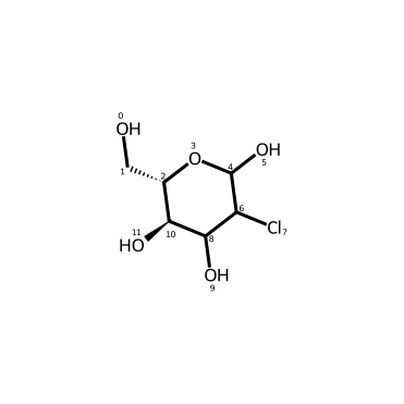 OC[C@@H]1OC(O)C(Cl)C(O)[C@H]1O